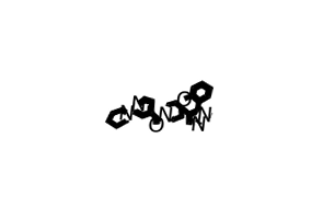 Cn1ncc2c1-c1ccccc1OC21CCN(C(=O)c2ccnc(N3CCCCC3)c2)CC1